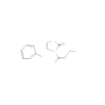 CC(C)[C@@H](CC(=O)O)C(=O)N1C(=O)OC[C@H]1Cc1ccccc1